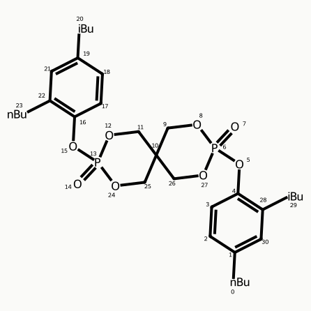 CCCCc1ccc(OP2(=O)OCC3(COP(=O)(Oc4ccc(C(C)CC)cc4CCCC)OC3)CO2)c(C(C)CC)c1